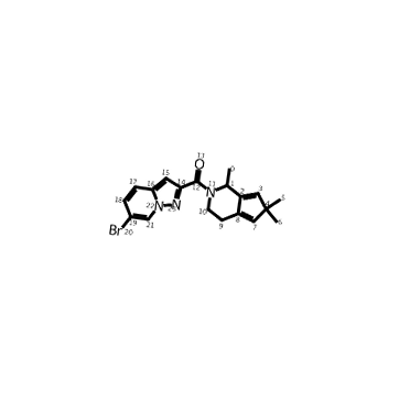 CC1C2=CC(C)(C)C=C2CCN1C(=O)c1cc2ccc(Br)cn2n1